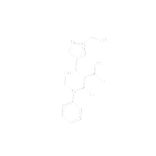 CCN(C(=O)C(Cc1cnn(CC)c1)C(=O)O)c1ccccc1